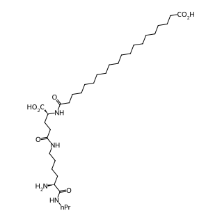 CCCNC(=O)[C@@H](N)CCCCNC(=O)CC[C@H](NC(=O)CCCCCCCCCCCCCCCCCCC(=O)O)C(=O)O